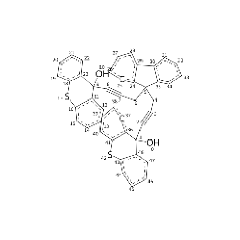 OC1(C#CCC2(CC#CC3(O)c4ccccc4Sc4ccccc43)c3ccccc3-c3ccccc32)c2ccccc2Sc2ccccc21